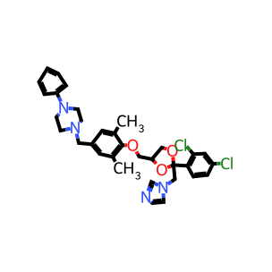 Cc1cc(CN2CCN(c3ccccc3)CC2)cc(C)c1OCC1COC(Cn2ccnc2)(c2ccc(Cl)cc2Cl)O1